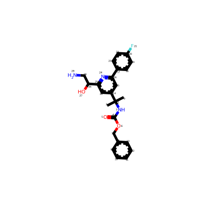 CC(C)(NC(=O)OCc1ccccc1)c1cc(-c2ccc(F)cc2)nc(C(O)CN)c1